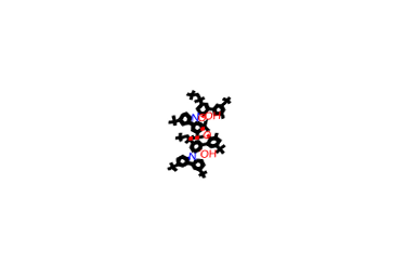 Cc1cc(C2=CC(C(C)(C)CC(C)(C)C)=CC(n3c4ccc(C(C)(C)C)cc4c4cc(C(C)(C)C)ccc43)C2(O)OCCCOc2c(C)cc(C(C)(C)C)cc2-c2cc(C(C)(C)CC(C)(C)C)cc(-n3c4ccc(C(C)(C)C)cc4c4cc(C(C)(C)C)ccc43)c2O)cc(C(C)(C)C)c1